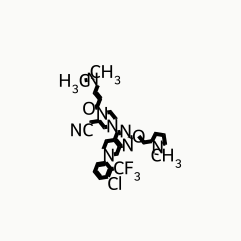 CN(C)C/C=C/C(=O)N1CCN(c2nc(OCC3CCCN3C)nc3c2CCN(c2cccc(Cl)c2C(F)(F)F)C3)CC1CC#N